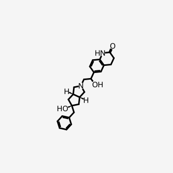 O=C1CCc2cc(C(O)CN3C[C@@H]4C[C@](O)(Cc5ccccc5)C[C@@H]4C3)ccc2N1